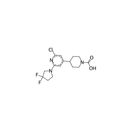 O=C(O)N1CCC(c2cc(Cl)nc(N3CCC(F)(F)C3)c2)CC1